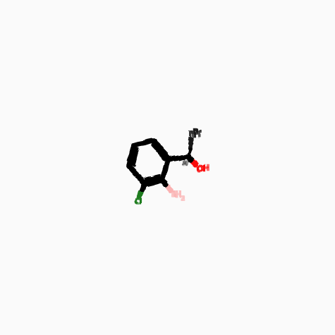 Bc1c(Cl)cccc1[C@H](O)CCC